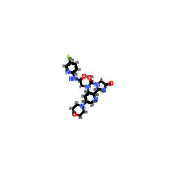 O=C1CN2C(=O)N(CC(=O)Nc3ccc(F)cn3)c3cc(N4CCOCC4)cnc3C2=N1